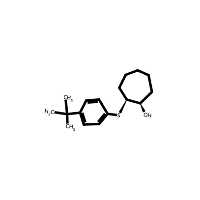 CC(C)(C)c1ccc(S[C@H]2CCCCC[C@H]2O)cc1